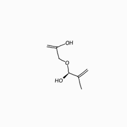 C=C(O)CO[C@H](O)C(=C)C